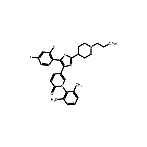 COCCN1CCC(c2nc(-c3ccc(=O)n(-c4c(C)cccc4C)c3)c(-c3ccc(F)cc3F)s2)CC1